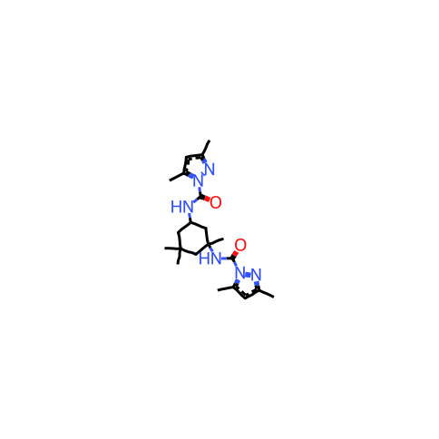 Cc1cc(C)n(C(=O)NC2CC(C)(C)CC(C)(NC(=O)n3nc(C)cc3C)C2)n1